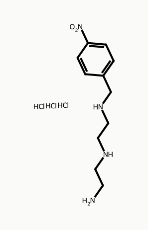 Cl.Cl.Cl.NCCNCCNCc1ccc([N+](=O)[O-])cc1